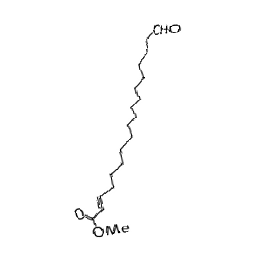 COC(=O)C=CCCCCCCCCCCCCCCC=O